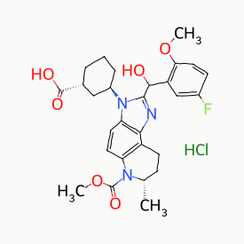 COC(=O)N1c2ccc3c(nc(C(O)c4cc(F)ccc4OC)n3[C@@H]3CCC[C@@H](C(=O)O)C3)c2CC[C@@H]1C.Cl